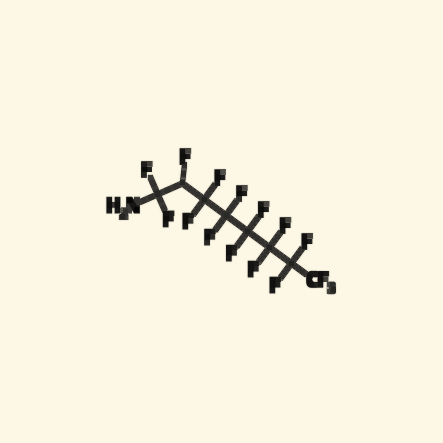 NC(F)(F)C(F)C(F)(F)C(F)(F)C(F)(F)C(F)(F)C(F)(F)C(F)(F)F